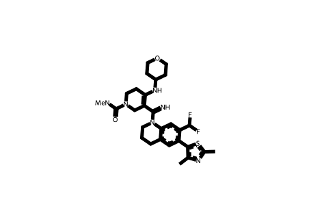 CNC(=O)N1CCC(NC2CCOCC2)=C(C(=N)N2CCCc3cc(-c4sc(C)nc4C)c(C(F)F)cc32)C1